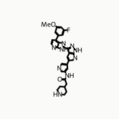 COc1cc(F)cc(-c2ccnc3[nH]c(-c4n[nH]c5ncc(-c6cncc(NC(=O)CC7CCNCC7)c6)cc45)nc23)c1